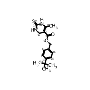 CC1=C(C(=O)OCc2ccc(C(C)(C)C)cc2)CNC(=S)N1